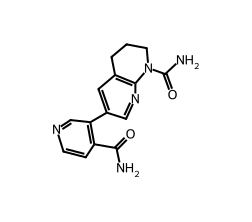 NC(=O)c1ccncc1-c1cnc2c(c1)CCCN2C(N)=O